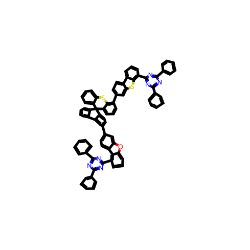 c1ccc(-c2nc(-c3ccccc3)nc(-c3cccc4c3sc3cc(-c5cccc6c5Sc5ccccc5C65c6ccccc6-c6cc(-c7ccc8c(c7)oc7cccc(-c9nc(-c%10ccccc%10)nc(-c%10ccccc%10)n9)c78)ccc65)ccc34)n2)cc1